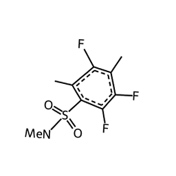 CNS(=O)(=O)c1c(C)c(F)c(C)c(F)c1F